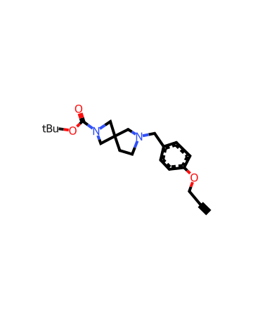 C#CCOc1ccc(CN2CCC3(C2)CN(C(=O)OC(C)(C)C)C3)cc1